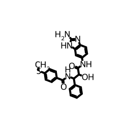 CSc1ccc(C(=O)NC(c2ccccc2)C(O)C(=O)Nc2ccc3nc(N)[nH]c3c2)cc1